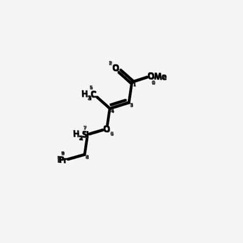 COC(=O)/C=C(\C)O[SiH2]CC(C)C